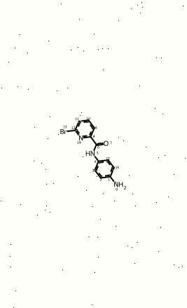 Nc1ccc(NC(=O)c2cccc(Br)n2)cc1